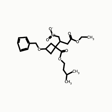 CCOC(=O)CC(C[N+](=O)[O-])C1(C(=O)OCCC(C)C)CC(OCc2ccccc2)C1